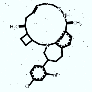 C=C1NSCC/C=C/CC(=C)C2CCC2CN2CC(c3ccc(Cl)cc3CCC)CCc3ccc1cc32